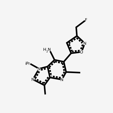 Cc1nc2c(C)nn(C(C)C)c2c(N)c1-c1cc(CF)no1